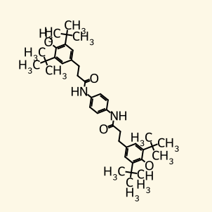 CC(C)(C)c1cc(CCC(=O)Nc2ccc(NC(=O)CCc3cc(C(C)(C)C)c(O)c(C(C)(C)C)c3)cc2)cc(C(C)(C)C)c1O